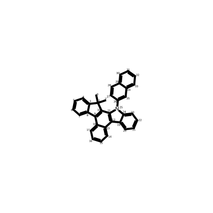 CC1(C)c2ccccc2-c2c1c1c(c3ccccc23)c2ccccc2n1-c1ccc2ccccc2c1